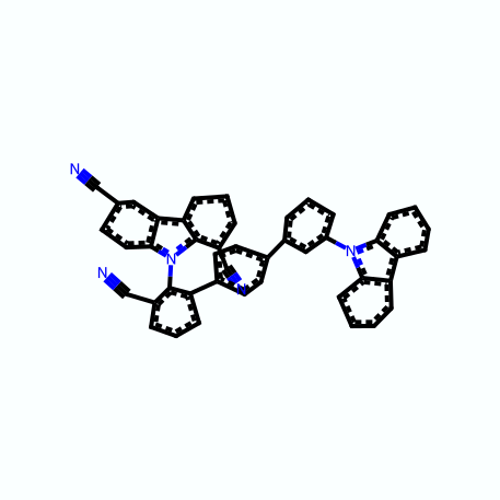 N#Cc1ccc2c(c1)c1cccc(C#N)c1n2-c1c(C#N)cccc1-c1ccc(-c2cccc(-n3c4ccccc4c4ccccc43)c2)cc1